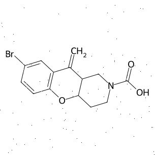 C=C1c2cc(Br)ccc2OC2CCN(C(=O)O)CC12